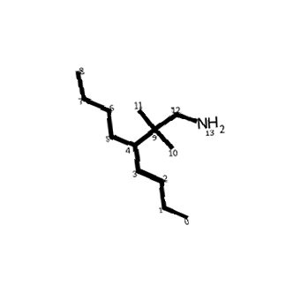 CCCCC(CCCC)C(C)(C)CN